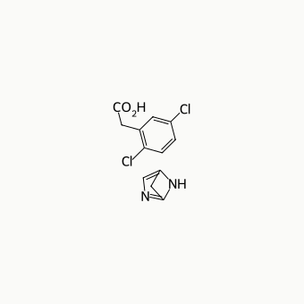 O=C(O)Cc1cc(Cl)ccc1Cl.c1nc2[nH]c1C2